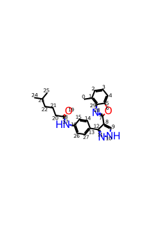 Cc1cccc2oc(-c3c[nH]nc3-c3ccc(NC(=O)CCCC(C)C)cc3)nc12